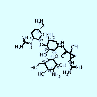 N=C(N)NC1CC1(O)C(=O)N[C@@H]1C[C@H](N)C(O[C@H]2O[C@H](CN)CC[C@H]2NC(=N)N)[C@H](O)[C@H]1O[C@H]1O[C@H](CO)[C@@H](O)[C@H](N)[C@H]1O